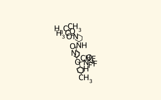 Cc1ccc([C@@H](Oc2ccc(C(=O)N[C@H]3CCCN(C(=O)OC(C)(C)C)C3)nc2)[C@H](C)NC(=O)C(F)(F)F)cc1